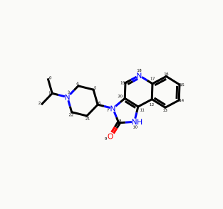 CC(C)N1CCC(n2c(=O)[nH]c3c4ccccc4ncc32)CC1